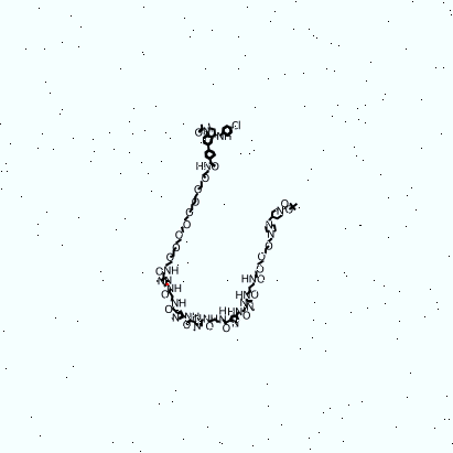 CC(=O)N1c2ccc(-c3ccc(C(=O)NCCOCCOCCOCCOCCOCCOCCOCCOCCNC(=O)c4nc(NC(=O)CCNC(=O)c5cc(NC(=O)c6nc(NC(=O)CCNC(=O)c7cc(NC(=O)c8nc(NC(=O)CCNC(=O)COCCOCCOCCN9CCN(CC%10CCN(C(=O)OC(C)(C)C)CC%10)CC9)cn8C)cn7C)cn6C)cn5C)cn4C)cc3)cc2[C@H](Nc2ccc(Cl)cc2)C[C@@H]1C